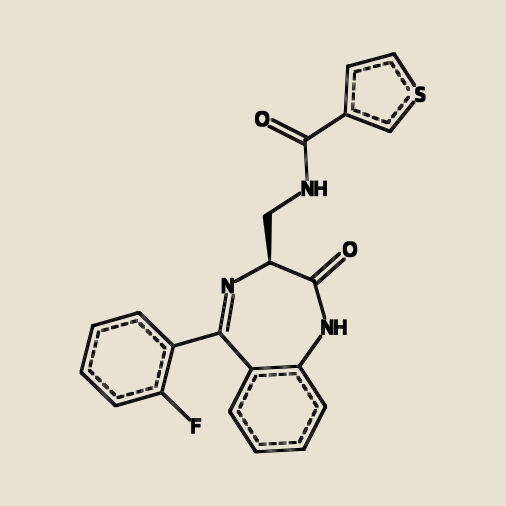 O=C(NC[C@@H]1N=C(c2ccccc2F)c2ccccc2NC1=O)c1ccsc1